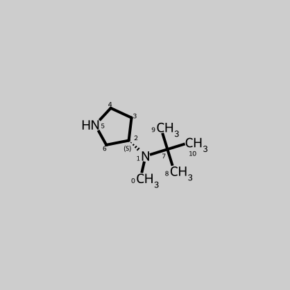 CN([C@H]1CCNC1)C(C)(C)C